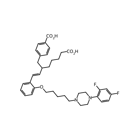 O=C(O)CCCCC(/C=C/c1ccccc1OCCCCCN1CCN(c2ccc(F)cc2F)CC1)Cc1ccc(C(=O)O)cc1